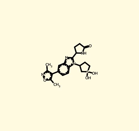 Cc1noc(C)c1-c1ccc2c(c1)nc(C1CCC(=O)N1)n2C1CCS(O)(O)C1